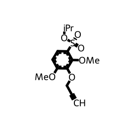 C#CCOc1c(OC)ccc(S(=O)(=O)OC(C)C)c1OC